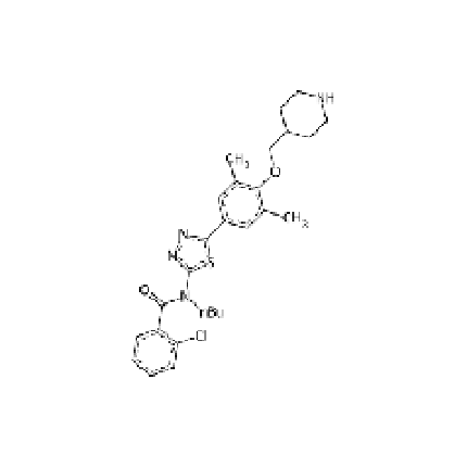 CCCCN(C(=O)c1ccccc1Cl)c1nnc(-c2cc(C)c(OCC3CCNCC3)c(C)c2)s1